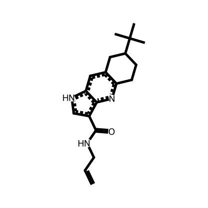 C=CCNC(=O)c1c[nH]c2cc3c(nc12)CCC(C(C)(C)C)C3